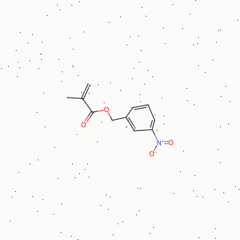 C=C(C)C(=O)OCc1cccc([N+](=O)[O-])c1